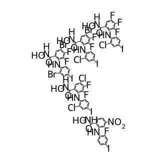 O=C(NO)c1cc(Br)c(F)c(F)c1Nc1ccc(I)cc1Br.O=C(NO)c1cc(Br)c(F)c(F)c1Nc1ccc(I)cc1Cl.O=C(NO)c1cc(Cl)c(F)c(F)c1Nc1ccc(I)cc1Cl.O=C(NO)c1cc(F)c(F)c(F)c1Nc1ccc(I)cc1Cl.O=C(NO)c1ccc([N+](=O)[O-])cc1Nc1ccc(I)cc1F